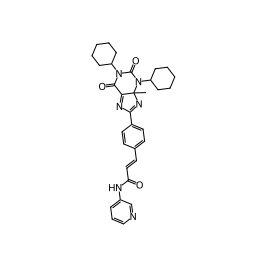 CC12N=C(c3ccc(/C=C/C(=O)Nc4cccnc4)cc3)N=C1C(=O)N(C1CCCCC1)C(=O)N2C1CCCCC1